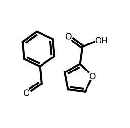 O=C(O)c1ccco1.O=Cc1ccccc1